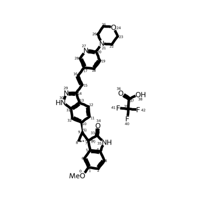 COc1ccc2c(c1)[C@]1(C[C@H]1c1ccc3c(C=Cc4ccc(N5CCOCC5)nc4)n[nH]c3c1)C(=O)N2.O=C(O)C(F)(F)F